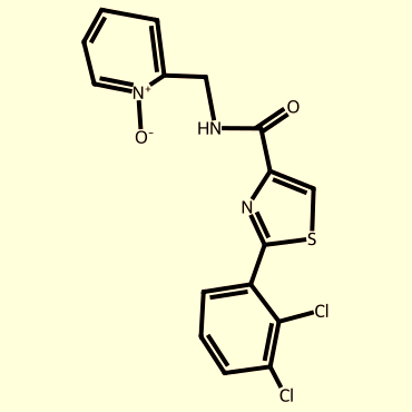 O=C(NCc1cccc[n+]1[O-])c1csc(-c2cccc(Cl)c2Cl)n1